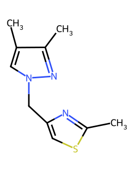 Cc1nc(Cn2cc(C)c(C)n2)cs1